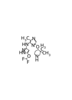 Cc1ncc(O[C@H]2CCNCC2(C)C)nc1Nc1cc(OC(F)F)[nH]n1